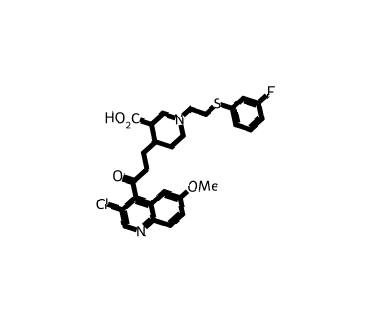 COc1ccc2ncc(Cl)c(C(=O)CCC3CCN(CCSc4cccc(F)c4)CC3C(=O)O)c2c1